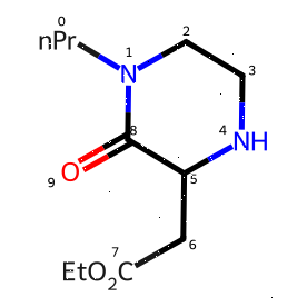 CCCN1CCNC(CC(=O)OCC)C1=O